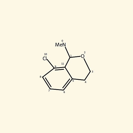 CNC1OCCc2cccc(Cl)c21